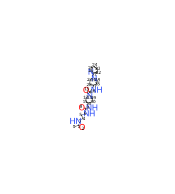 CC(=O)NCCNC(=O)NC1CCN(C(=O)NC2CCN(c3ccccn3)CC2)CC1